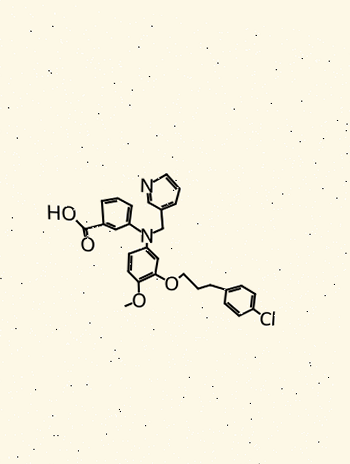 COc1ccc(N(Cc2cccnc2)c2cccc(C(=O)O)c2)cc1OCCCc1ccc(Cl)cc1